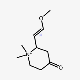 CO/C=C/C1CC(=O)CC[N+]1(C)C